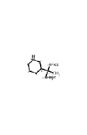 CCCCCCCC(C)(CCCCCC)C1CCCNC1